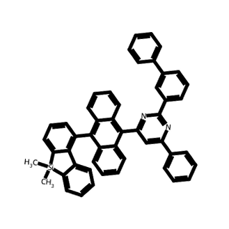 C[Si]1(C)c2ccccc2-c2c(-c3c4ccccc4c(-c4cc(-c5ccccc5)nc(-c5cccc(-c6ccccc6)c5)n4)c4ccccc34)cccc21